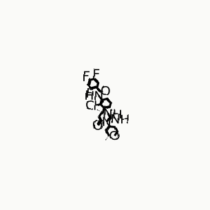 C[C@@H]1C[C@H](N2C(=N)N[C@](C)(c3cccc(NC(=O)c4cc(F)c(F)cc4F)c3Cl)CC2=O)CCO1